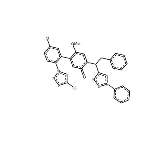 COc1cn(C(Cc2ccccc2)c2cn(-c3ccccc3)nn2)c(=O)cc1-c1cc(Cl)ccc1-n1cc(Cl)nn1